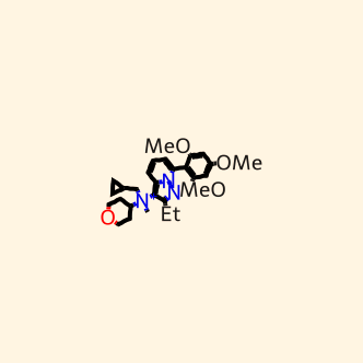 CCc1nn2c(-c3c(OC)cc(OC)cc3OC)cccc2c1[N+](C)(CC1CC1)C1CCOCC1